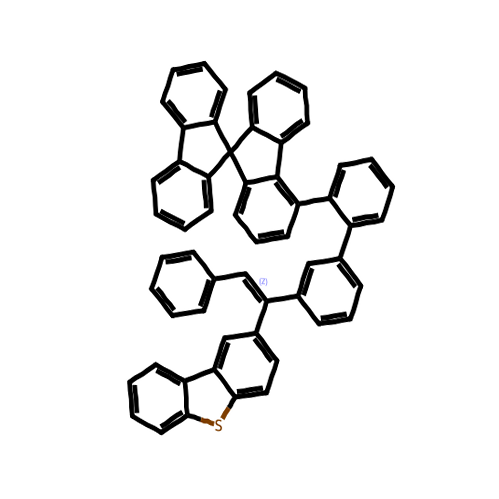 C(=C(\c1cccc(-c2ccccc2-c2cccc3c2-c2ccccc2C32c3ccccc3-c3ccccc32)c1)c1ccc2sc3ccccc3c2c1)/c1ccccc1